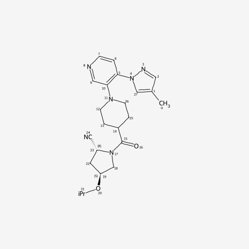 Cc1cnn(-c2ccncc2N2CCC(C(=O)N3C[C@@H](OC(C)C)C[C@@H]3C#N)CC2)c1